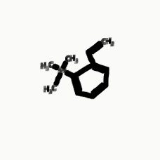 C=Cc1cccc[c]1[Sn]([CH3])([CH3])[CH3]